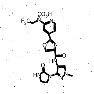 Cn1cc(NC(=O)c2coc(-c3ccnc(N(CC(F)(F)F)C(=O)O)c3)n2)c(N2CCNC2=O)n1